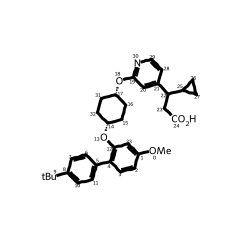 COc1ccc(-c2ccc(C(C)(C)C)cc2)c(O[C@H]2CC[C@@H](Oc3cc(C(CC(=O)O)C4CC4)ccn3)CC2)c1